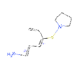 C=C/C(=C\C=C\N)SN1CCCC1